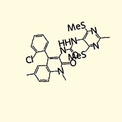 CSc1nc(C)nc(SC)c1NC(=O)Nc1c(-c2ccccc2Cl)c2cc(C)ccc2n(C)c1=O